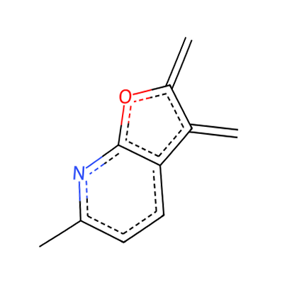 C=c1oc2nc(C)ccc2c1=C